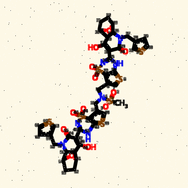 CS(=O)(=O)N(Cc1csc2c1S(=O)(=O)N=C(C1=C(O)C3C4CCC(O4)C3N(Cc3ccsc3)C1=O)N2)Cc1csc2c1S(=O)(=O)N=C(C1=C(O)C3C4CCC(O4)C3N(Cc3ccsc3)C1=O)N2